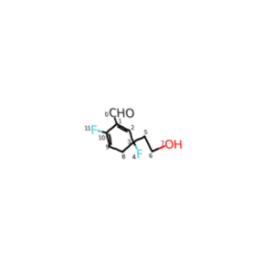 O=CC1=CC(F)(CCO)CC=C1F